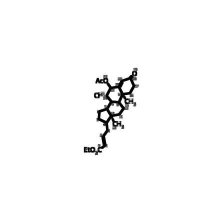 CCOC(=O)/C=C/CC1CCC2C3C(CC[C@]12C)[C@@]1(C)CCC(=O)C=C1C(OC(C)=O)[C@H]3Cl